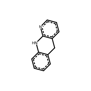 c1ccc2c(c1)Cc1cccnc1N2